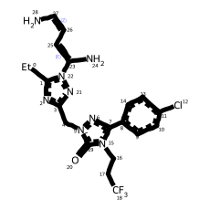 CCc1nc(Cn2nc(-c3ccc(Cl)cc3)n(CCC(F)(F)F)c2=O)nn1/C(N)=C/C=C\N